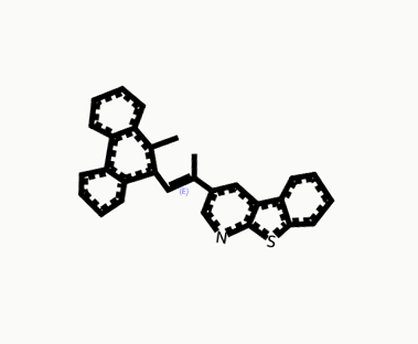 C/C(=C\c1c(C)c2ccccc2c2ccccc12)c1cnc2sc3ccccc3c2c1